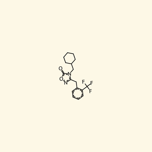 O=c1onc(Cc2ccccc2C(F)(F)F)n1CC1CCCCC1